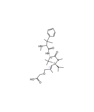 CNC(C(=O)N[C@H](C(=O)N(C)[C@H](/C=C(\C)COCC(=O)O)C(C)C)C(C)(C)C)C(C)(C)c1ccccc1